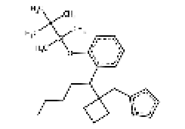 CC(C)(C)[Si](C)(C)Oc1ccccc1C(CCCI)C1(Cc2cccs2)CCC1